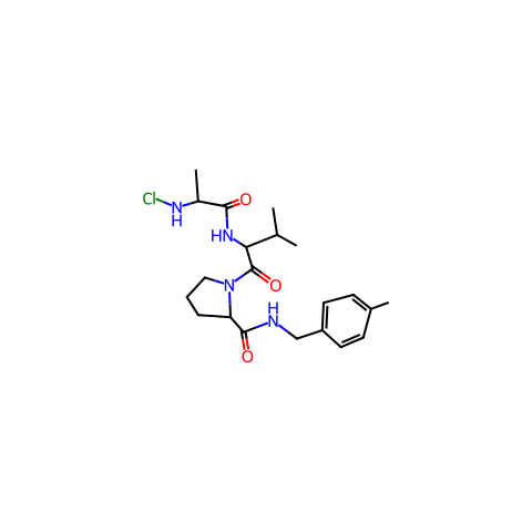 Cc1ccc(CNC(=O)C2CCCN2C(=O)C(NC(=O)C(C)NCl)C(C)C)cc1